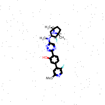 CSc1cc(-c2ccc(-c3ncc(N(C)[C@H]4C[C@]5(C)CC[C@@](C)(N5)[C@H]4F)nn3)c(O)c2)c(F)cn1